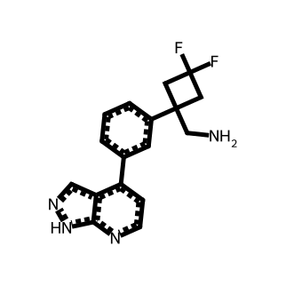 NCC1(c2cccc(-c3ccnc4[nH]ncc34)c2)CC(F)(F)C1